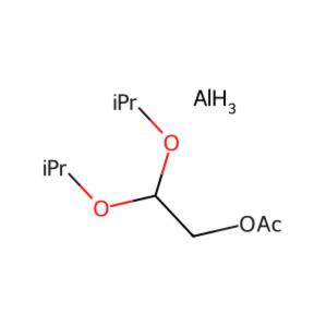 CC(=O)OCC(OC(C)C)OC(C)C.[AlH3]